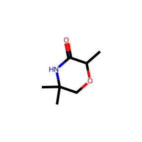 CC1OCC(C)(C)NC1=O